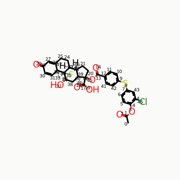 CC(=O)Oc1ccc(Sc2ccc(C(=O)O[C@]3(C(=O)O)CC[C@H]4[C@@H]5CCC6=CC(=O)C=C[C@]6(C)[C@@]5(F)[C@@H](O)C[C@@]43C)cc2)cc1Cl